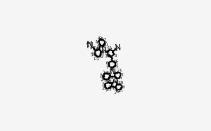 N#Cc1cc(-c2ccc(-n3c4ccccc4c4c(-n5c6ccccc6c6ccccc65)cccc43)cc2)cc(-n2c3ccccc3c3c(C#N)cccc32)c1